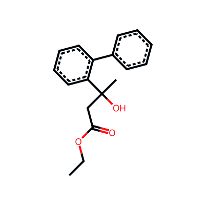 CCOC(=O)CC(C)(O)c1ccccc1-c1ccccc1